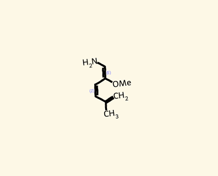 C=C(C)/C=C\C(=C/N)OC